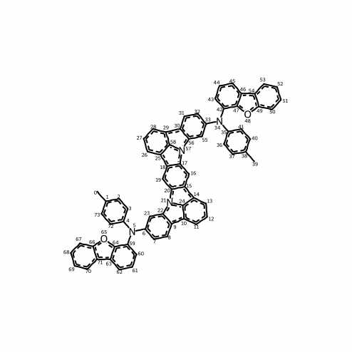 Cc1ccc(N(c2ccc3c4cccc5c6cc7c(cc6n(c3c2)c45)c2cccc3c4ccc(N(c5ccc(C)cc5)c5cccc6c5oc5ccccc56)cc4n7c32)c2cccc3c2oc2ccccc23)cc1